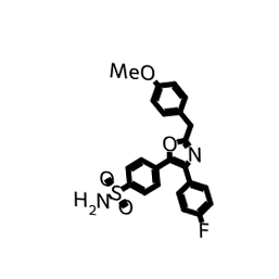 COc1ccc(Cc2nc(-c3ccc(F)cc3)c(-c3ccc(S(N)(=O)=O)cc3)o2)cc1